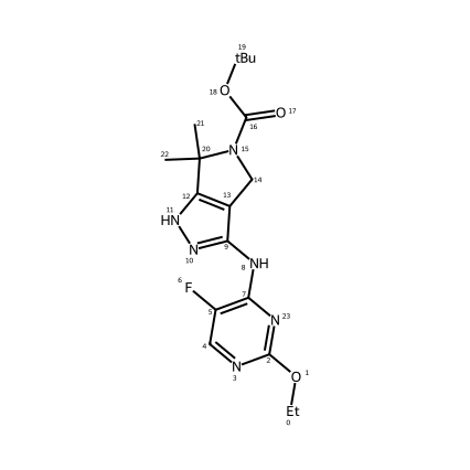 CCOc1ncc(F)c(Nc2n[nH]c3c2CN(C(=O)OC(C)(C)C)C3(C)C)n1